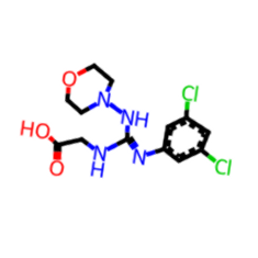 O=C(O)CNC(=Nc1cc(Cl)cc(Cl)c1)NN1CCOCC1